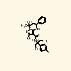 CCC(CC)(NC(=O)c1c(C)nn2c1NC(c1ccccc1)CC2(C)C)c1ccc(F)cc1